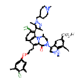 Cc1cc(OCCCc2c3n(c4c(-c5c(C)nn(CC6CCN(C)CC6)c5C)c(Cl)ccc24)C(C)CN(c2cn(C)c4c(C)cc(C(=O)O)cc24)C3=O)cc(C)c1Cl